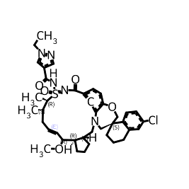 CCn1cc(C(=O)NS2(=O)=NC(=O)c3ccc4c(c3)N(C[C@@H]3CCC[C@H]3[C@@H](OC)/C=C/C[C@H](C)[C@H]2C)C[C@@]2(CCCc3cc(Cl)ccc32)CO4)cn1